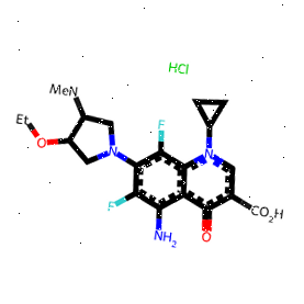 CCOC1CN(c2c(F)c(N)c3c(=O)c(C(=O)O)cn(C4CC4)c3c2F)CC1NC.Cl